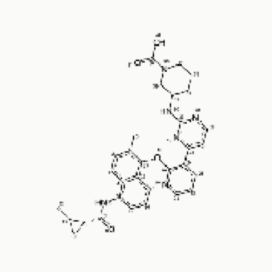 Cc1ccc2c(NC(=O)[C@@H]3C[C@@H]3C)cccc2c1Oc1ncccc1-c1ccnc(NC2CCCN(C(=O)O)C2)n1